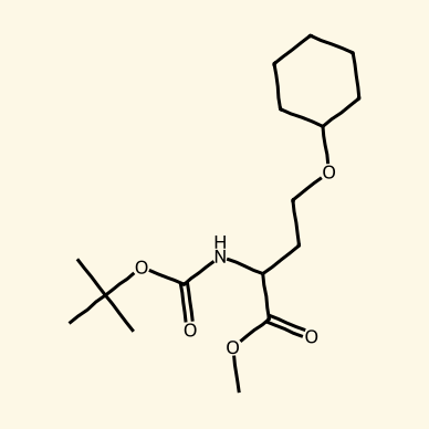 COC(=O)C(CCOC1CCCCC1)NC(=O)OC(C)(C)C